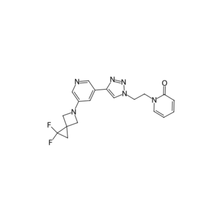 O=c1ccccn1CCn1cc(-c2cncc(N3CC4(C3)CC4(F)F)c2)nn1